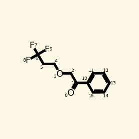 O=C(COCCC(F)(F)F)c1ccccc1